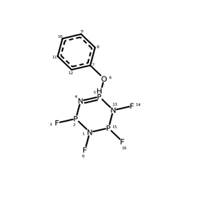 FN1P(F)N=[PH](Oc2ccccc2)N(F)P1F